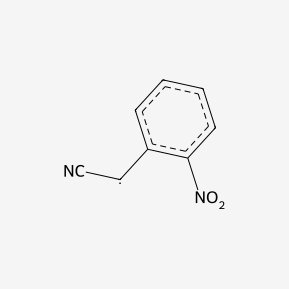 N#C[CH]c1ccccc1[N+](=O)[O-]